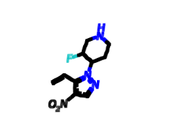 C=Cc1c([N+](=O)[O-])cnn1C1CCNCC1F